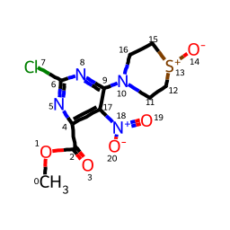 COC(=O)c1nc(Cl)nc(N2CC[S+]([O-])CC2)c1[N+](=O)[O-]